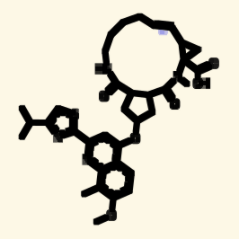 COc1ccc2c(OC3CC4C(=O)NCCCC/C=C/C5CC5(C(=O)O)N(C)C(=O)C4C3)cc(-c3nc(C(C)C)cs3)nc2c1C